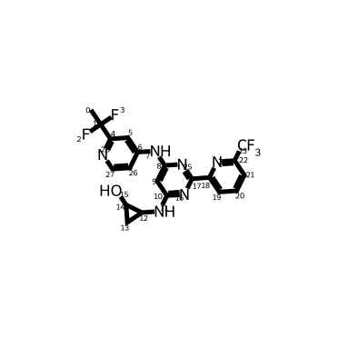 CC(F)(F)c1cc(Nc2cc(NC3CC3O)nc(-c3cccc(C(F)(F)F)n3)n2)ccn1